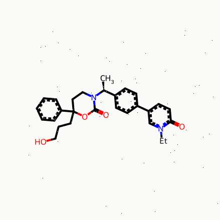 CCn1cc(-c2ccc([C@H](C)N3CCC(CCCO)(c4ccccc4)OC3=O)cc2)ccc1=O